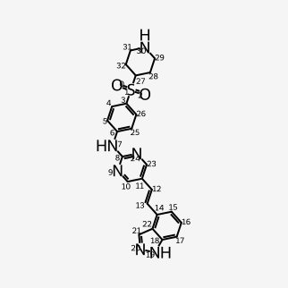 O=S(=O)(c1ccc(Nc2ncc(C=Cc3cccc4[nH]ncc34)cn2)cc1)C1CCNCC1